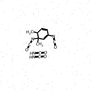 CC1C=CC(N=C=O)=CC1(C)N=C=O.N=C=O.N=C=O